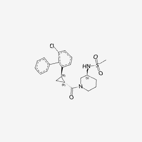 CS(=O)(=O)N[C@H]1CCCN(C(=O)[C@@H]2C[C@H]2c2cccc(Cl)c2-c2ccccc2)C1